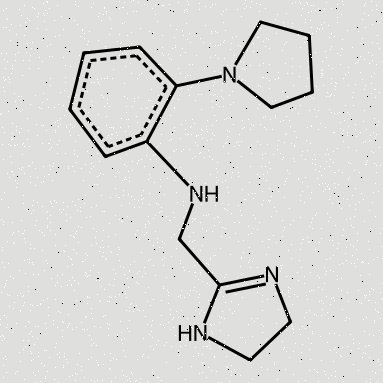 c1ccc(N2CCCC2)c(NCC2=NCCN2)c1